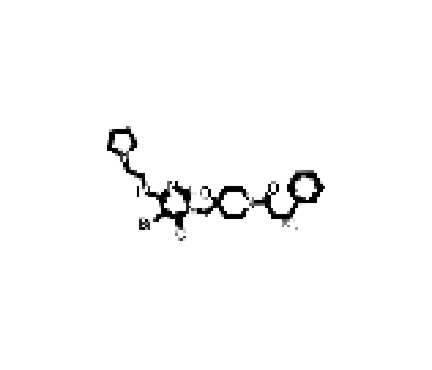 C[C@H](CC(=O)N1CCC(O)(Cn2cnc(NCCN3CCCC3)c(Br)c2=O)CC1)c1ccccc1